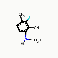 CCN(C(=O)O)c1ccc(C(F)(F)F)c(F)c1C#N